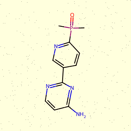 CP(C)(=O)c1ccc(-c2nccc(N)n2)cn1